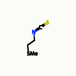 CSCCN=C=S